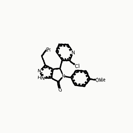 COc1ccc(N2C(=O)c3[nH]nc(CC(C)C)c3C2c2cccnc2Cl)cc1